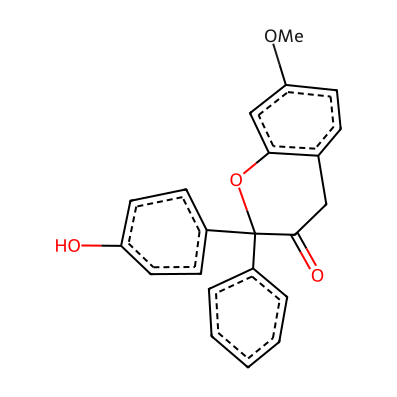 COc1ccc2c(c1)OC(c1ccccc1)(c1ccc(O)cc1)C(=O)C2